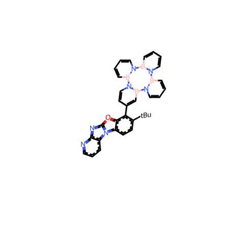 CC(C)(C)c1ccc2c(oc3nc4ncccc4n32)c1C1=CB2N3C=CC=CB3N3C=CC=CB3N3C=CC=CB3N2C=C1